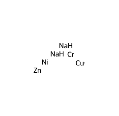 [Cr].[Cu].[NaH].[NaH].[Ni].[Zn]